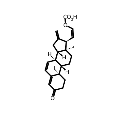 C=C1C[C@H]2[C@@H]3C=CC4=CC(=O)CC[C@@H]4[C@H]3CC[C@]2(C)[C@@H]1/C=C\OC(=O)O